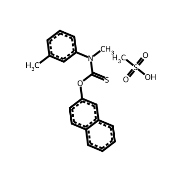 CS(=O)(=O)O.Cc1cccc(N(C)C(=S)Oc2ccc3ccccc3c2)c1